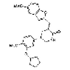 COc1ccc2oc(C[C@@H]3C[C@@H](c4ccc(OC)c(OC5CCCC5)c4)CNC3=O)cc2c1